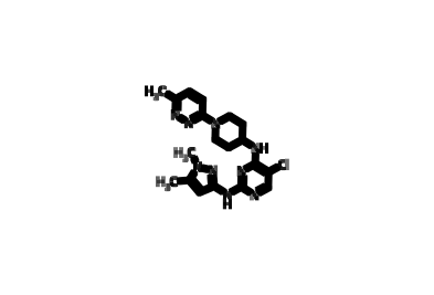 Cc1ccc(N2CCC(Nc3nc(Nc4cc(C)n(C)n4)ncc3Cl)CC2)nn1